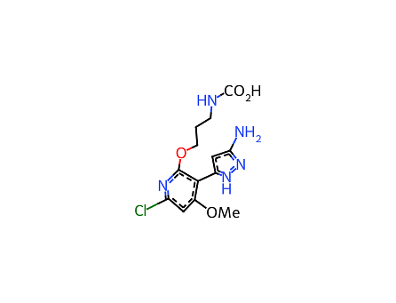 COc1cc(Cl)nc(OCCCNC(=O)O)c1-c1cc(N)n[nH]1